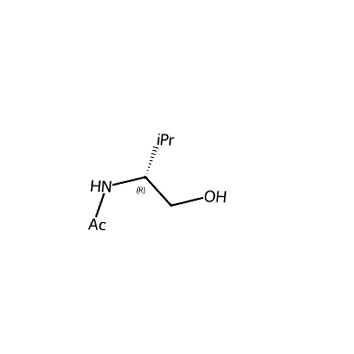 CC(=O)N[C@@H](CO)C(C)C